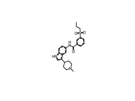 CCCS(=O)(=O)c1cccc(C(=O)Nc2ccc3[nH]cc(C4CCN(C)CC4)c3c2)c1